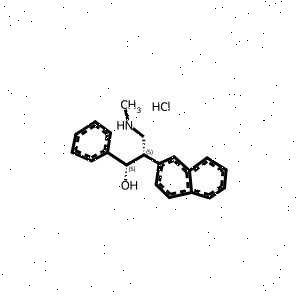 CNC[C@H](c1ccc2ccccc2c1)[C@H](O)c1ccccc1.Cl